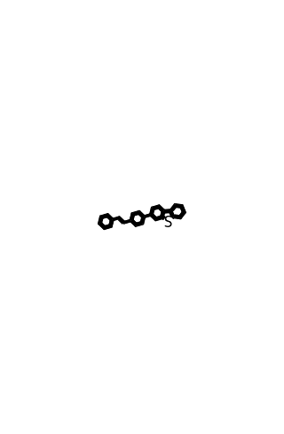 C(=Cc1ccc(-c2ccc3c(c2)sc2ccccc23)cc1)c1ccccc1